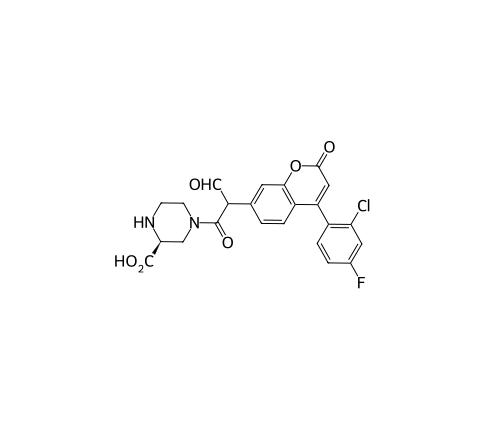 O=CC(C(=O)N1CCN[C@H](C(=O)O)C1)c1ccc2c(-c3ccc(F)cc3Cl)cc(=O)oc2c1